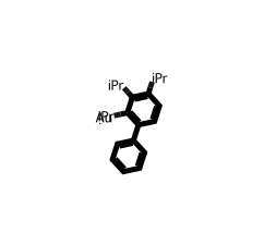 CC(C)c1ccc(-c2ccccc2)c(C(C)C)c1C(C)C.[Au]